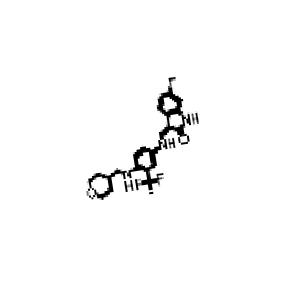 O=C1Nc2cc(F)ccc2C1=CNc1ccc(NCC2CCOCC2)c(C(F)(F)F)c1